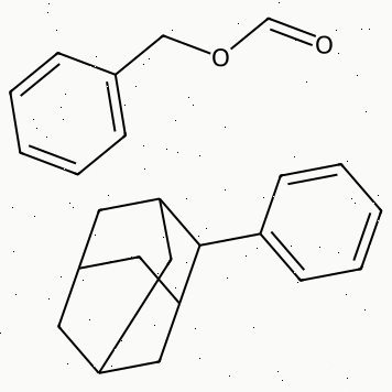 O=COCc1ccccc1.c1ccc(C2C3CC4CC(C3)CC2C4)cc1